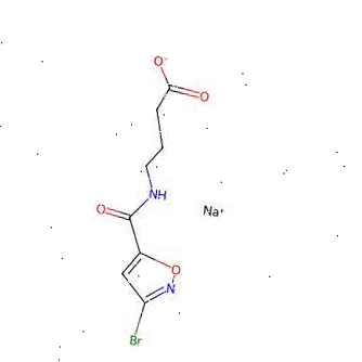 O=C([O-])CCCNC(=O)c1cc(Br)no1.[Na+]